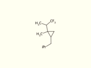 CC(C)CC1CC1(C)C(C)C(F)(F)F